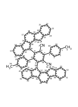 Cc1ccc(-c2c(C#N)c(-n3c4ccccc4c4ccc5c6ccccc6sc5c43)c(-c3ccc(C)cc3)c(-n3c4ccccc4c4ccc5c6ccccc6sc5c43)c2C#N)cc1